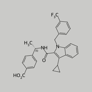 C[C@H](NC(=O)c1c(C2CC2)c2ccccc2n1Cc1cccc(C(F)(F)F)c1)c1ccc(C(=O)O)cc1